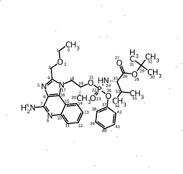 CCOCc1nc2c(N)nc3ccccc3c2n1C[C@@H](C)O[P@@](=O)(N[C@H](C(=O)OC(C)(C)C)C(C)C)Oc1ccccc1